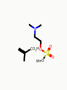 C=C(C)C(=O)O.COS(=O)(=O)OCCN(C)C